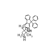 C=C[C@@](C)(CC)C(C)(C=N)Nc1ccc2c(c1)C(c1ccccc1)(c1ccccc1)c1ccccc1-2